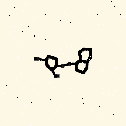 Oc1ccc(OOc2cccc3ccccc23)c(O)c1